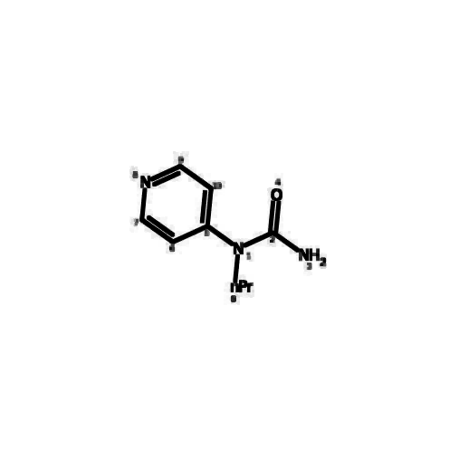 CCCN(C(N)=O)c1ccncc1